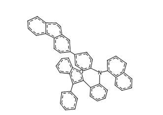 c1ccc(-c2c(-c3ccccc3N(c3ccc(-c4ccc5c(ccc6ccccc65)c4)cc3)c3cccc4ccccc34)oc3ccccc23)cc1